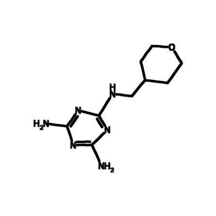 Nc1nc(N)nc(NCC2CCOCC2)n1